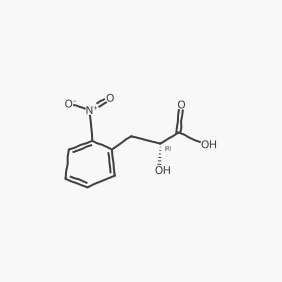 O=C(O)[C@H](O)Cc1ccccc1[N+](=O)[O-]